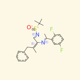 C\C(=N/C(/C=N/[S@+]([O-])C(C)(C)C)=C(\C)Cc1ccccc1)c1cc(F)ccc1F